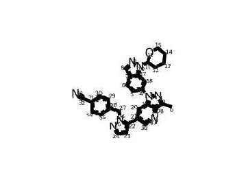 Cc1nn(-c2ccc3cnn(C4CCCCO4)c3c2)c2cc(-c3ccnn3Cc3ccc(C#N)cc3)cnc12